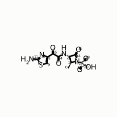 C[C@H]1[C@H](NC(=O)C(=O)c2csc(N)n2)C(=O)N1S(=O)(=O)O